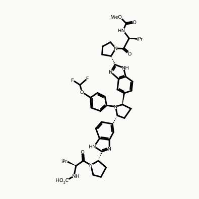 COC(=O)N[C@H](C(=O)N1CCC[C@H]1c1nc2cc([C@H]3CC[C@H](c4ccc5[nH]c([C@@H]6CCCN6C(=O)[C@@H](NC(=O)O)C(C)C)nc5c4)N3c3ccc(OC(F)F)cc3)ccc2[nH]1)C(C)C